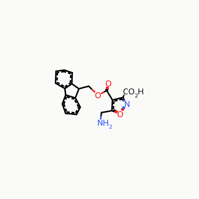 NCc1onc(C(=O)O)c1C(=O)OCC1c2ccccc2-c2ccccc21